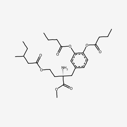 CCCC(=O)Oc1ccc(C[C@](N)(CCOC(=O)CC(C)CC)C(=O)OC)cc1OC(=O)CCC